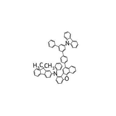 CC1(C)c2ccccc2-c2ccc(N(c3ccccc3)c3cccc4oc5c6ccccc6c(-c6ccc(-c7cc(-c8ccccc8)cc(-n8c9ccccc9c9ccccc98)c7)cc6)cc5c34)cc21